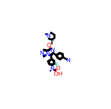 CN1CCC[C@@H](COc2nc(-c3ccc(C#N)cc3)c(-c3ccc(N(C)C(=O)O)c(F)c3)n3cncc23)C1